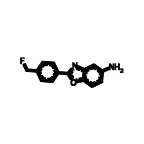 Nc1ccc2oc(-c3ccc(CF)cc3)nc2c1